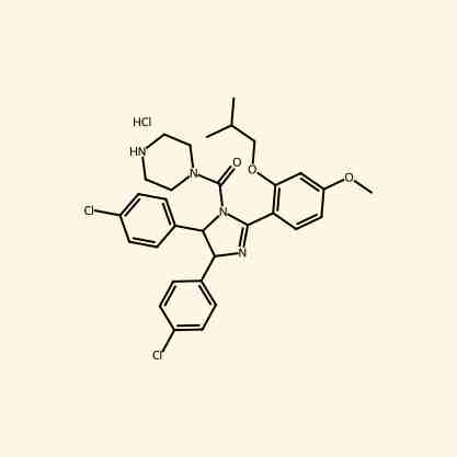 COc1ccc(C2=NC(c3ccc(Cl)cc3)C(c3ccc(Cl)cc3)N2C(=O)N2CCNCC2)c(OCC(C)C)c1.Cl